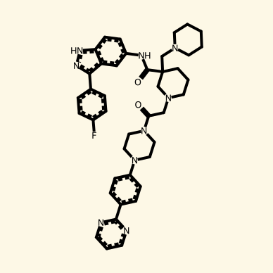 O=C(CN1CCCC(CN2CCCCC2)(C(=O)Nc2ccc3[nH]nc(-c4ccc(F)cc4)c3c2)C1)N1CCN(c2ccc(-c3ncccn3)cc2)CC1